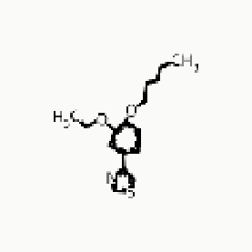 CCCCCOc1ccc(-c2cscn2)cc1OCC